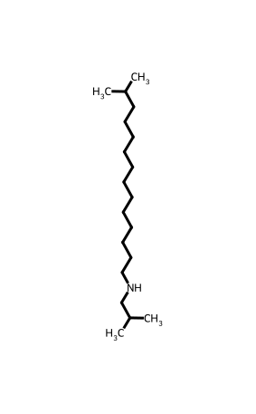 CC(C)CCCCCCCCCCCCNCC(C)C